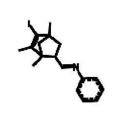 CC1=C(I)C2(C)CC(/C=N/c3ccccc3)C1(C)C2